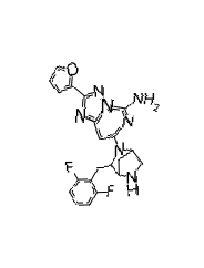 Nc1nc(N2C3CNC(C3)C2Cc2c(F)cccc2F)cc2nc(-c3ccco3)nn12